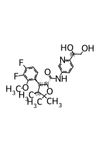 COc1c([C@H]2[C@H](C(=O)Nc3ccc([C@@H](O)CO)nc3)OC(C)(C)[C@H]2C)ccc(F)c1F